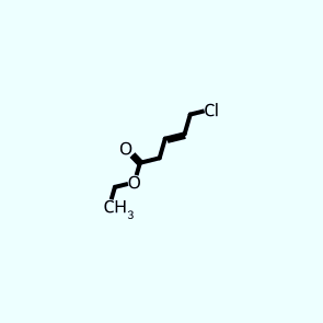 CCOC(=O)CC=CCCl